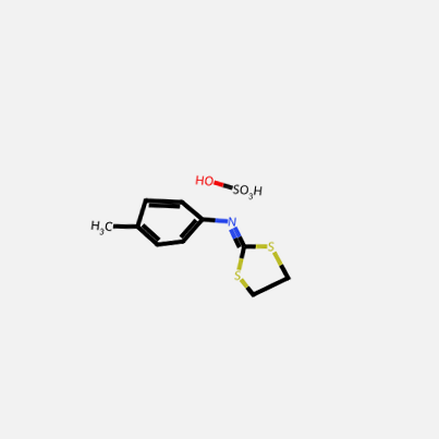 Cc1ccc(N=C2SCCS2)cc1.O=S(=O)(O)O